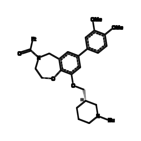 CCC(=O)N1CCOc2c(cc(-c3ccc(OC)c(OC)c3)cc2OC[C@H]2CCCN(C(C)CC)C2)C1